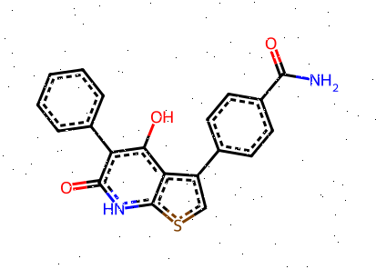 NC(=O)c1ccc(-c2csc3[nH]c(=O)c(-c4ccccc4)c(O)c23)cc1